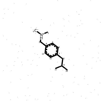 [CH2-][NH+](C)Cc1ccc(CC(C)C)cc1